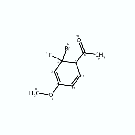 COC1=CC(F)(Br)C(C(C)=O)C=C1